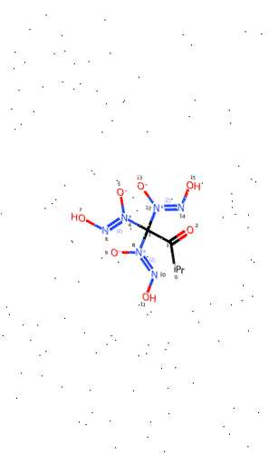 CC(C)C(=O)C(/[N+]([O-])=N/O)(/[N+]([O-])=N/O)/[N+]([O-])=N/O